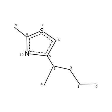 CCCC(C)c1csc(C)n1